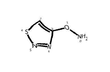 NOc1csnn1